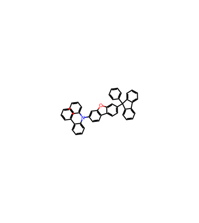 c1ccc(-c2ccccc2N(c2ccccc2)c2ccc3c(c2)oc2cc(C4(c5ccccc5)c5ccccc5-c5ccccc54)ccc23)cc1